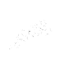 [2H]C([2H])([2H])c1ncn(-c2ncc(OC)c3c(C(=O)C(=O)N4C([2H])([2H])C([2H])([2H])N(c5nnnn5-c5ccccn5)C([2H])([2H])C4([2H])[2H])c[nH]c23)n1